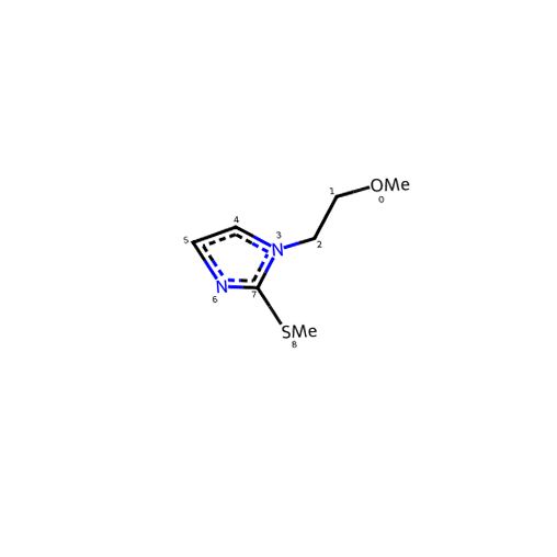 COCCn1ccnc1SC